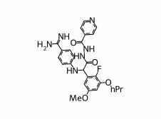 CCCOc1cc(OC)cc(C(Nc2ccc(C(=N)N)cc2)C(=O)NNC(=O)c2ccncc2)c1F